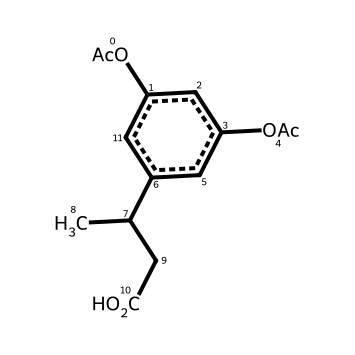 CC(=O)Oc1cc(OC(C)=O)cc(C(C)CC(=O)O)c1